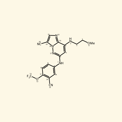 COCCNc1cc(Nc2ccc(OC(F)(F)F)c(C#N)c2)nn2c(C#N)cnc12